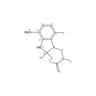 C=C(C)C(C)CC1c2c(C)ccc(SC)c2NC1(C)C